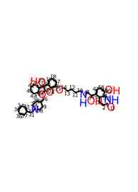 O=C1C=CC2C(C(O)CNCCCCCOc3cccc(C(O)(C(=O)OCC4CCN(Cc5ccccc5)CC4)C4CCCCC4)c3)=CC=C(O)C2N1